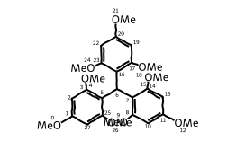 COc1cc(OC)c(C(c2c(OC)cc(OC)cc2OC)c2c(OC)cc(OC)cc2OC)c(OC)c1